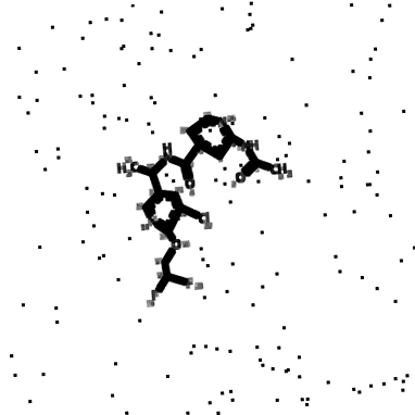 CC(=O)Nc1cc(C(=O)NC(C)c2cnc(OCC(F)F)c(Cl)c2)ccn1